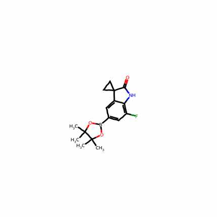 CC1(C)OB(c2cc(F)c3c(c2)C2(CC2)C(=O)N3)OC1(C)C